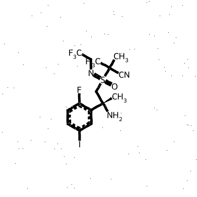 CC(C)(C#N)S(=O)(C[C@](C)(N)c1cc(I)ccc1F)=NCC(F)(F)F